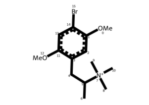 COc1cc(CC(C)[N+](C)(C)C)c(OC)cc1Br